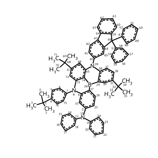 CC(C)(C)c1ccc(N2c3cc(N(c4ccccc4)c4ccccc4)ccc3B3c4cc(C(C)(C)C)ccc4N(c4ccc5c(c4)C(c4ccccc4)(c4ccccc4)c4ccccc4-5)c4cc(C(C)(C)C)cc2c43)cc1